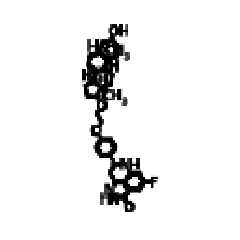 C[C@]12CCC(O)C[C@@H]1CC[C@@H]1[C@@H]2CC[C@]2(C)[C@@H](OCCOc3ccc([C@@H]4Cc5n[nH]c(=O)c6cc(F)cc(c56)N4)cc3)CC[C@@H]12